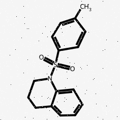 Cc1ccc(S(=O)(=O)N2CCCc3ccccc32)cc1